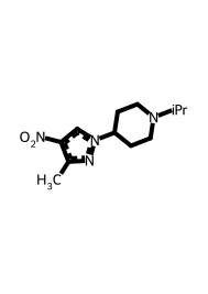 Cc1nn(C2CCN(C(C)C)CC2)cc1[N+](=O)[O-]